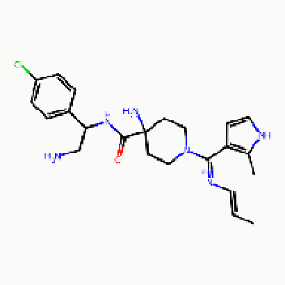 CC=C/N=C(\c1cc[nH]c1C)N1CCC(N)(C(=O)NC(CN)c2ccc(Cl)cc2)CC1